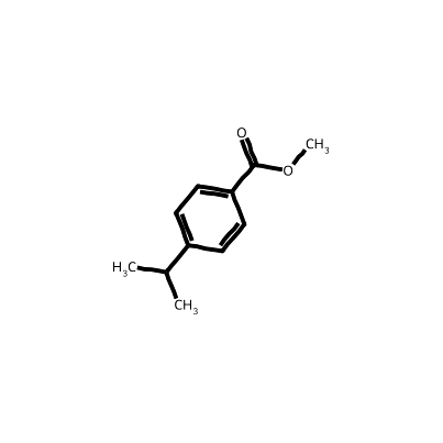 COC(=O)c1ccc([C](C)C)cc1